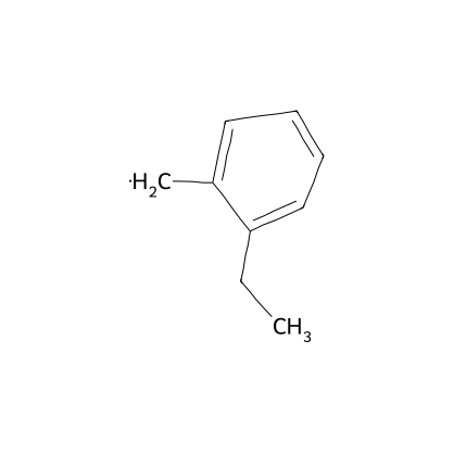 [CH2]c1ccccc1CC